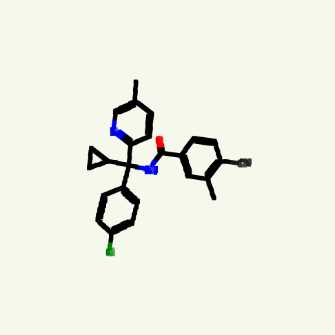 Cc1ccc(C(NC(=O)c2ccc(C#N)c(C)c2)(c2ccc(Cl)cc2)C2CC2)nc1